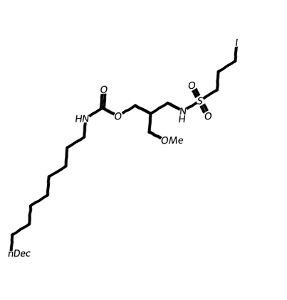 CCCCCCCCCCCCCCCCCCNC(=O)OCC(CNS(=O)(=O)CCCI)COC